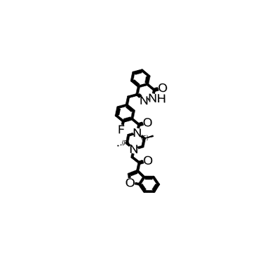 C[C@@H]1CN(C(=O)c2cc(Cc3n[nH]c(=O)c4ccccc34)ccc2F)[C@@H](C)CN1CC(=O)c1coc2ccccc12